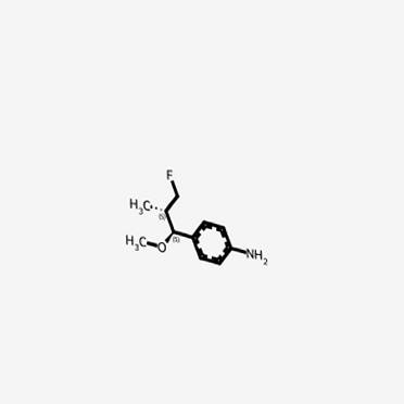 CO[C@H](c1ccc(N)cc1)[C@H](C)CF